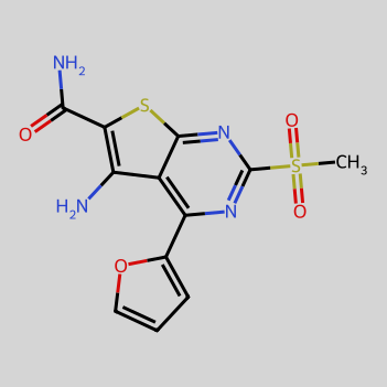 CS(=O)(=O)c1nc(-c2ccco2)c2c(N)c(C(N)=O)sc2n1